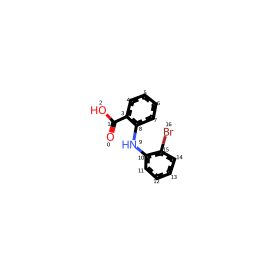 O=C(O)c1ccccc1Nc1ccccc1Br